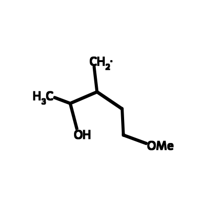 [CH2]C(CCOC)C(C)O